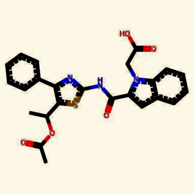 CC(=O)OC(C)c1sc(NC(=O)c2cc3ccccc3n2CC(=O)O)nc1-c1ccccc1